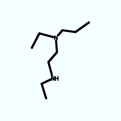 CCCN(CC)CCNCC